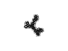 c1ccc(-c2ccccc2-c2ccc(N(c3ccc(-c4ccc(-c5ccccc5)c(-c5cc6ccccc6o5)c4)cc3)c3ccc(-c4ccc5c(ccc6ccccc65)c4)cc3)cc2)cc1